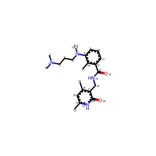 CCN(CCCN(C)C)c1cccc(C(=O)NCc2c(C)cc(C)[nH]c2=O)c1C